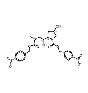 CN(C[C@@H](O)[C@@H]1C[C@@H](O)CN1C(=O)OCc1ccc([N+](=O)[O-])cc1)C(=O)OCc1ccc([N+](=O)[O-])cc1